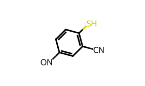 N#Cc1cc(N=O)ccc1S